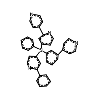 c1ccc(-c2cc([Si](c3ccccc3)(c3cccc(-c4ccncc4)c3)c3ccnc(-c4ccncc4)c3)ccn2)cc1